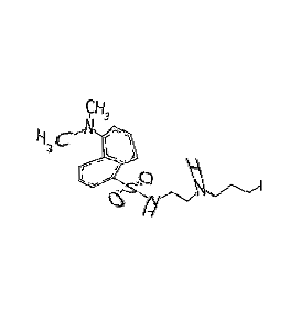 CN(C)c1cccc2c(S(=O)(=O)NCCNCCCI)cccc12